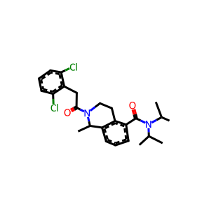 CC1c2cccc(C(=O)N(C(C)C)C(C)C)c2CCN1C(=O)Cc1c(Cl)cccc1Cl